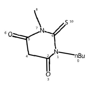 CCCCN1C(=O)CC(=O)N(C)C1=S